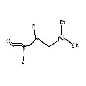 CCN(CC)CC(F)C(=O)F